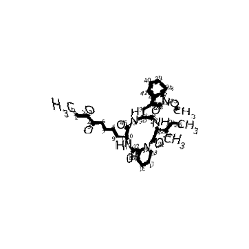 CCC(=O)C(=O)CCCC[C@@H]1NC(=O)[C@H]2CCCCN2C(=O)[C@H](C(C)CC)NC(=O)[C@H](Cc2cn(OC)c3ccccc23)NC1=O